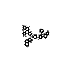 c1ccc(-c2c(-c3ccc(N(c4ccc(-c5ccc6c7ccc8ccccc8c7n(-c7ccccc7)c6c5)cc4)c4ccc5c(ccc6ccccc65)c4)cc3)ccc3ccccc23)cc1